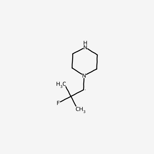 CC(C)(F)[CH]N1CCNCC1